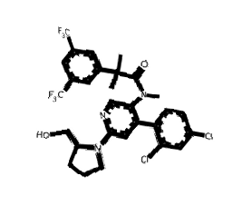 CN(C(=O)C(C)(C)c1cc(C(F)(F)F)cc(C(F)(F)F)c1)c1cnc(N2CCCC2CO)cc1-c1ccc(Cl)cc1Cl